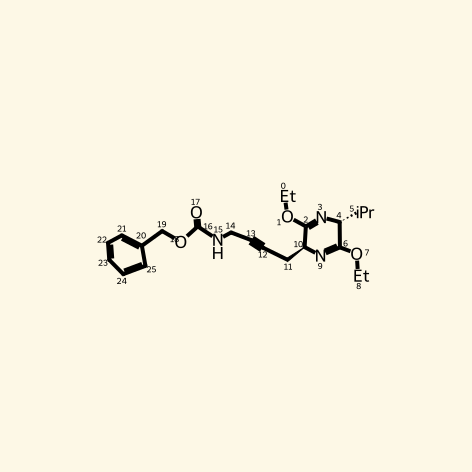 CCOC1=N[C@H](C(C)C)C(OCC)=N[C@H]1CC#CCNC(=O)OCc1ccccc1